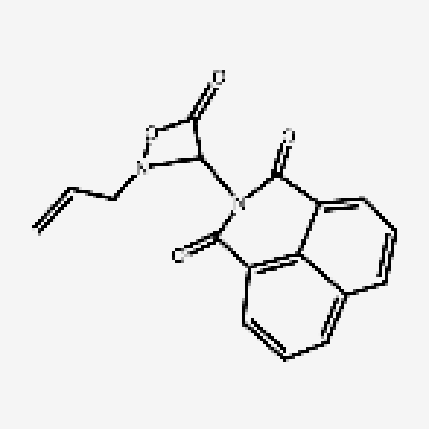 C=CCN1OC(=O)C1N1C(=O)c2cccc3cccc(c23)C1=O